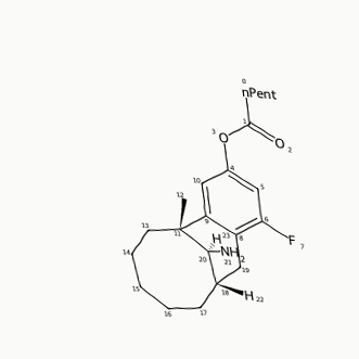 CCCCCC(=O)Oc1cc(F)c2c(c1)[C@@]1(C)CCCCC[C@@H](C2)[C@@H]1N